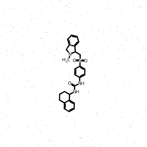 CN1Cc2ccccc2C1CS(=O)(=O)c1ccc(NC(=O)NC2CCCc3ccccc32)cc1